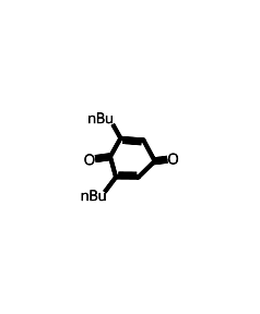 CCCCC1=CC(=O)C=C(CCCC)C1=O